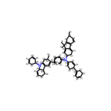 CC1C=CC2=C(C1)C(C)(C)C1=CC(N(C3=CCC(C4=CC=CCC4)C=C3)c3ccc(C4=CC5=C(CC4C)N(C4C=CC=CC4)C4C=CCCC54)cc3)CC=C12